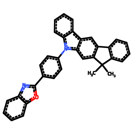 CC1(C)c2ccccc2-c2cc3c4ccccc4n(-c4ccc(-c5nc6ccccc6o5)cc4)c3cc21